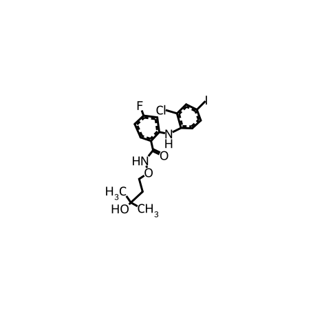 CC(C)(O)CCONC(=O)c1ccc(F)cc1Nc1ccc(I)cc1Cl